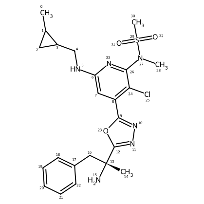 CC1CC1CNc1cc(-c2nnc([C@](C)(N)Cc3ccccc3)o2)c(Cl)c(N(C)S(C)(=O)=O)n1